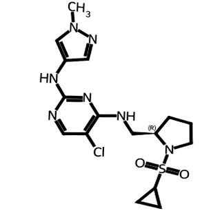 Cn1cc(Nc2ncc(Cl)c(NC[C@H]3CCCN3S(=O)(=O)C3CC3)n2)cn1